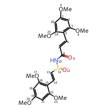 COc1cc(OC)c(C=CC(=O)N[S+]([O-])C=Cc2c(OC)cc(OC)cc2OC)c(OC)c1